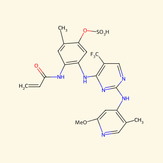 C=CC(=O)Nc1cc(C)c(OS(=O)(=O)O)cc1Nc1nc(Nc2cc(OC)ncc2C)ncc1C(F)(F)F